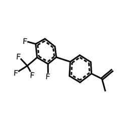 C=C(C)c1ccc(-c2ccc(F)c(C(F)(F)F)c2F)cc1